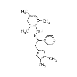 CC1=C(C)CC(CC(=NNc2c(C)cc(C)cc2C)c2ccccc2)=C1